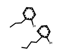 CCCCc1ccccc1S.CCCc1ccccc1S